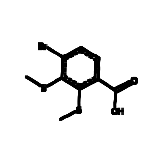 CSc1c(Br)ccc(C(=O)O)c1SC